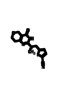 CN(Cc1ccc(C#N)s1)c1nc2c(c(=O)[nH]1)COCC2